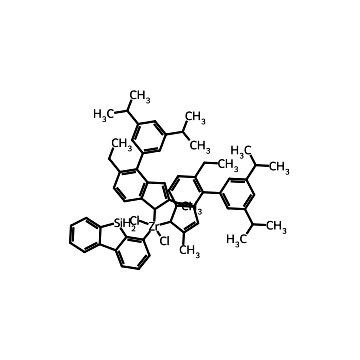 CCc1ccc2c(c1-c1cc(C(C)C)cc(C(C)C)c1)C=C(C)[CH]2[Zr]([Cl])([Cl])([c]1cccc2c1[SiH2]c1ccccc1-2)[CH]1C(C)=Cc2c1ccc(CC)c2-c1cc(C(C)C)cc(C(C)C)c1